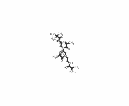 C=C(C)C(=O)NCCN(CCN(CCNC(=O)C(C)(C)C)C(=O)C(=C)C)C(=O)C(=C)C